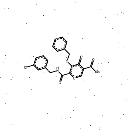 CC(C)(C)C(=O)c1coc(C(=O)NCc2cccc(Cl)c2)c(OCc2ccccc2)c1=O